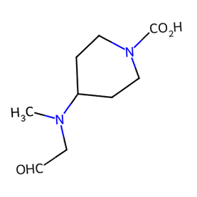 CN(CC=O)C1CCN(C(=O)O)CC1